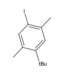 Cc1cc(C(C)(C)C)c(C)cc1I